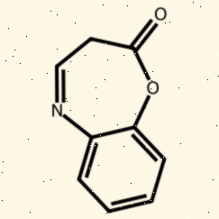 O=C1CC=Nc2ccccc2O1